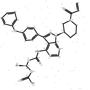 C=CC(=O)N1CCC[C@@H](n2nc(-c3ccc(Oc4ccccc4)cc3)c3c(NC(=O)O[C@@H](OC(=O)C(C)C)C(C)C)ncnc32)C1